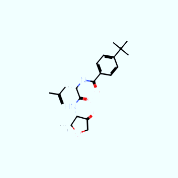 C=C(C)C[C@H](NC(=O)c1ccc(C(C)(C)C)cc1)C(=O)N[C@@H]1C(=O)CO[C@@H]1C